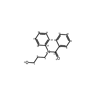 [O]CCCN(C(=O)c1ccccc1)c1ccccc1